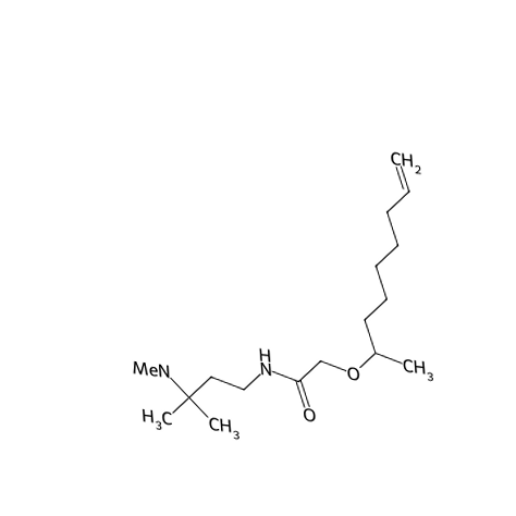 C=CCCCCCC(C)OCC(=O)NCCC(C)(C)NC